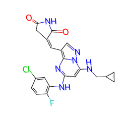 O=C1CC(=Cc2cnn3c(NCC4CC4)cc(Nc4cc(Cl)ccc4F)nc23)C(=O)N1